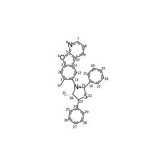 Cc1cc2oc3ncccc3c2cc1N1C(c2ccccc2)SC(c2ccccc2)[C@@H]1C